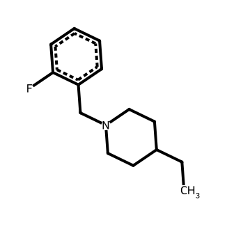 CCC1CCN(Cc2ccccc2F)CC1